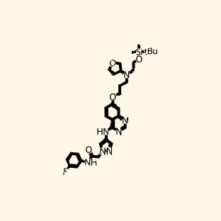 CC(C)(C)[Si](C)(C)OCCN(CCCOc1ccc2c(Nc3cnn(CC(=O)Nc4cccc(F)c4)c3)ncnc2c1)C1CCOC1